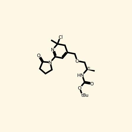 C[C@H](COCC1=CC(N2CCCC2=O)=NC(C)(Cl)C1)NC(=O)OC(C)(C)C